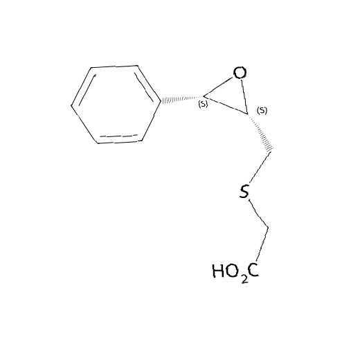 O=C(O)CSC[C@H]1O[C@H]1c1ccccc1